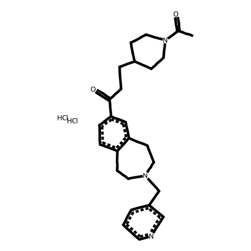 CC(=O)N1CCC(CCC(=O)c2ccc3c(c2)CCN(Cc2cccnc2)CC3)CC1.Cl.Cl